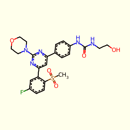 CS(=O)(=O)c1ccc(F)cc1-c1cc(-c2ccc(NC(=O)NCCO)cc2)nc(N2CCOCC2)n1